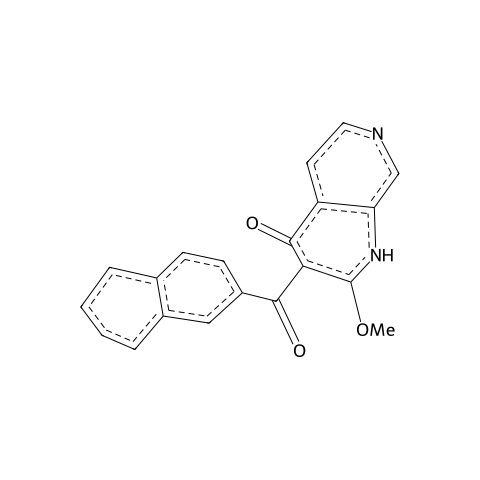 COc1[nH]c2cnccc2c(=O)c1C(=O)c1ccc2ccccc2c1